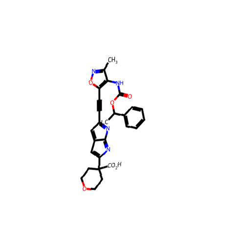 Cc1noc(C#CC2=NC3=NC(C4(C(=O)O)CCOCC4)=CC3=C2)c1NC(=O)OC(C)c1ccccc1